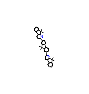 CC1(C)c2cc(-c3ccc4c(n3)C(C)(C)c3ccccc3-4)ccc2-c2ccc(-c3ccc4c(n3)C(C)(C)c3ccccc3-4)cc21